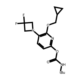 CC(C)(C)NC(=O)Oc1ccc(N2CC(F)(F)C2)c(OCC2CC2)n1